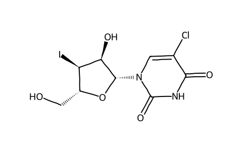 O=c1[nH]c(=O)n([C@@H]2O[C@H](CO)[C@@H](I)[C@H]2O)cc1Cl